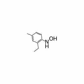 CCc1cc(C)ccc1NO